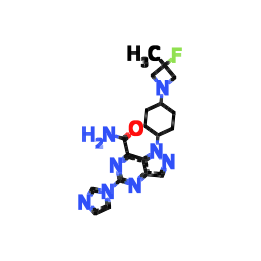 CC1(F)CN(C2CCC(n3ncc4nc(-n5ccnc5)nc(C(N)=O)c43)CC2)C1